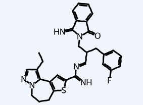 CCc1cnn2c1-c1cc(C(=N)/N=C/C(Cc3cccc(F)c3)CN3C(=N)c4ccccc4C3=O)sc1CCC2